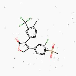 Cc1ccc(C2=C(c3ccc(S(C)(=O)=O)c(F)c3)COC2=O)cc1C(F)(F)F